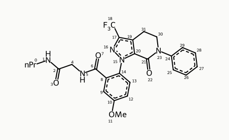 CCCNC(=O)CNC(=O)c1cc(OC)ccc1-n1nc(C(F)(F)F)c2c1C(=O)N(c1ccccc1)CC2